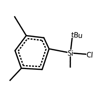 Cc1cc(C)cc([Si](C)(Cl)C(C)(C)C)c1